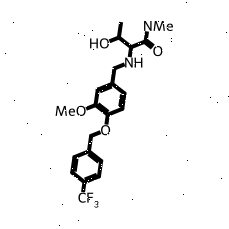 CNC(=O)C(NCc1ccc(OCc2ccc(C(F)(F)F)cc2)c(OC)c1)C(C)O